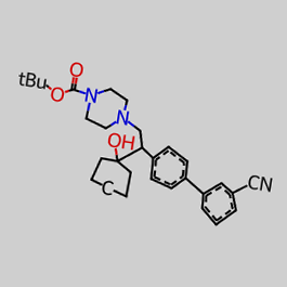 CC(C)(C)OC(=O)N1CCN(CC(c2ccc(-c3cccc(C#N)c3)cc2)C2(O)CCCCC2)CC1